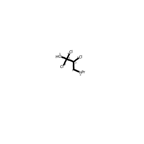 CCCCC(Cl)C(O)(Cl)Cl